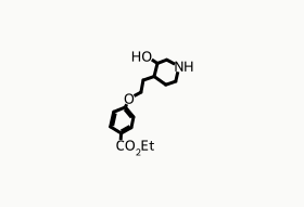 CCOC(=O)c1ccc(OCCC2CCNCC2O)cc1